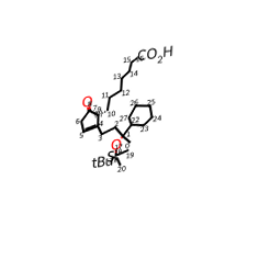 CC(CCC1=CCC(=O)[C@@H]1CCCCCCC(=O)O)(O[Si](C)(C)C(C)(C)C)C1CCCCC1